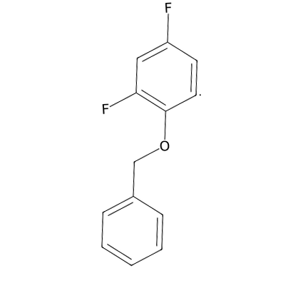 Fc1c[c]c(OCc2ccccc2)c(F)c1